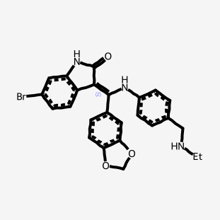 CCNCc1ccc(N/C(=C2\C(=O)Nc3cc(Br)ccc32)c2ccc3c(c2)OCO3)cc1